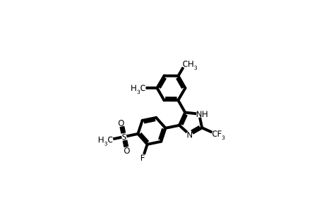 Cc1cc(C)cc(-c2[nH]c(C(F)(F)F)nc2-c2ccc(S(C)(=O)=O)c(F)c2)c1